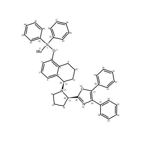 CC(C)(C)[Si](Oc1cccc2c1CCC[C@H]2N1CCC[C@@H]1c1nc(-c2ccccc2)c(-c2ccccc2)o1)(c1ccccc1)c1ccccc1